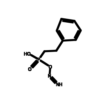 N=NOP(=O)(O)CCc1ccccc1